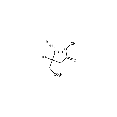 N.O=C(O)CC(O)(CC(=O)OO)C(=O)O.[Ti]